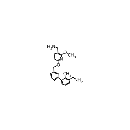 COc1nc(OCc2cccc(-c3cccc(CN)c3C)c2)ccc1CN